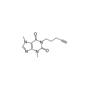 C#CCCCn1c(=O)c2c(ncn2C)n(C)c1=O